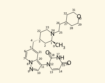 C[C@H]1C[C@H](Cc2ccn3ncc(-n4ccc(=O)[nH]c4=O)c3c2)CCN1CCC1CCOCC1